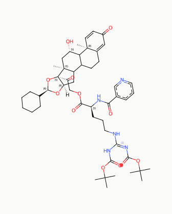 CC(C)(C)OC(=O)/N=C(/NCCC[C@H](NC(=O)c1cccnc1)C(=O)OCC(=O)[C@@]12O[C@H](C3CCCCC3)O[C@@H]1CC1C3CCC4=CC(=O)C=C[C@]4(C)C3[C@@H](O)C[C@@]12C)NC(=O)OC(C)(C)C